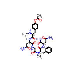 CN[C@@H](Cc1ccc(OC(C)=O)cc1)C(=O)N[C@H](CC(N)=O)C(=O)NCC(=O)N(C)[C@@H](Cc1ccccc1)C(=O)N[C@H](CC(N)=O)C(N)=O